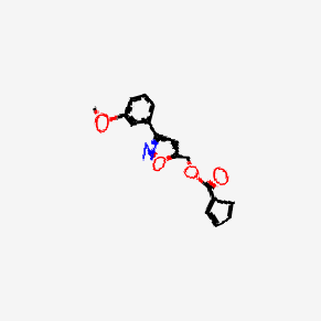 COc1cccc(-c2cc(COC(=O)C3C=CC=C3)on2)c1